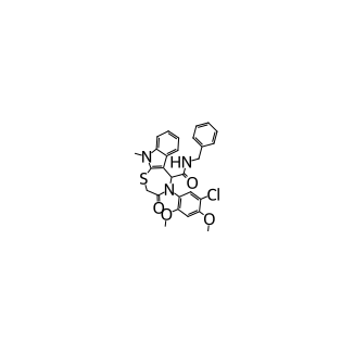 COc1cc(OC)c(N2C(=O)CSc3c(c4ccccc4n3C)C2C(=O)NCc2ccccc2)cc1Cl